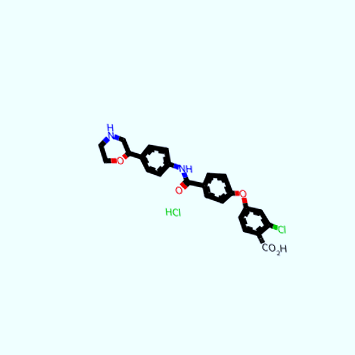 Cl.O=C(Nc1ccc(C2CNCCO2)cc1)c1ccc(Oc2ccc(C(=O)O)c(Cl)c2)cc1